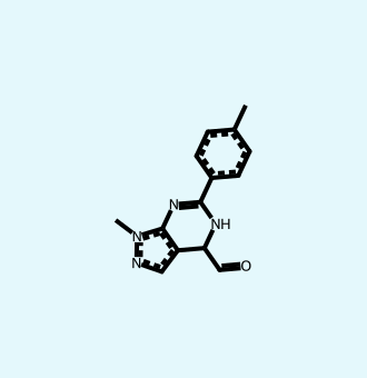 Cc1ccc(C2=Nc3c(cnn3C)C(C=O)N2)cc1